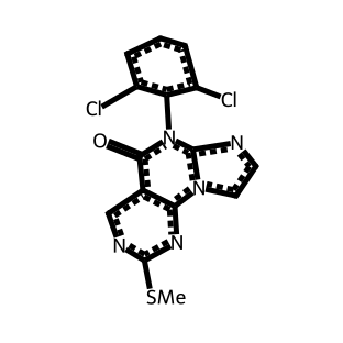 CSc1ncc2c(=O)n(-c3c(Cl)cccc3Cl)c3nccn3c2n1